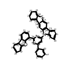 c1ccc(-c2cc(-n3c4ccccc4c4cc5sc6ccccc6c5cc43)nc(-c3cccc4c3oc3ccccc34)n2)cc1